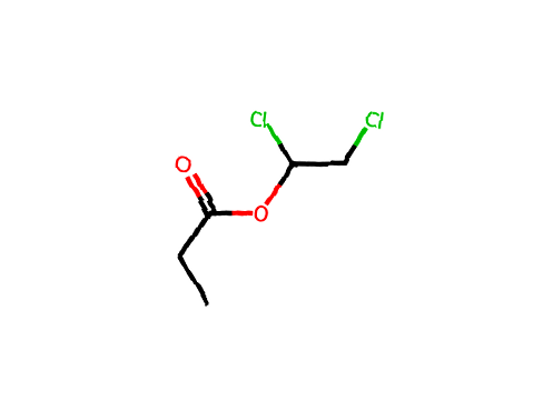 CCC(=O)OC(Cl)CCl